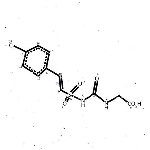 O=C(O)CNC(=O)NS(=O)(=O)/C=C/c1ccc(Cl)cc1